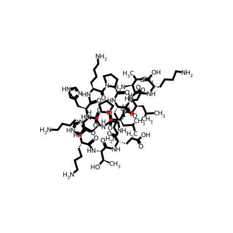 CC(C)C[C@H](NC(=O)[C@@H](N)C(C)C)C(=O)N[C@@H](CC(C)C)C(=O)N1CCC[C@H]1C(=O)N[C@@H](CCCCN)C(=O)N[C@@H](CCCCN)C(=O)N[C@H](C(=O)N[C@@H](CCC(=O)O)C(=O)N[C@@H](CO)C(=O)N[C@@H](Cc1c[nH]cn1)C(=O)N[C@@H](Cc1c[nH]cn1)C(=O)N[C@@H](CCCCN)C(=O)N1CCC[C@H]1C(=O)N[C@@H](CCCCN)C(=O)NCC(=O)N[C@@H](CCCCN)C(=O)O)[C@@H](C)O